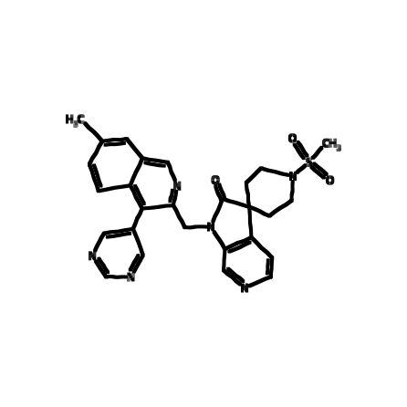 Cc1ccc2c(-c3cncnc3)c(CN3C(=O)C4(CCN(S(C)(=O)=O)CC4)c4ccncc43)ncc2c1